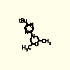 CC1CN(c2cnc(C(C)(C)C)cn2)CC(C)O1